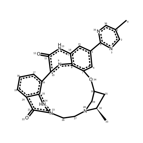 Cc1cnc(-c2cc3c4nc(c(=O)[nH]c4c2)-c2cccc4c(=O)n([nH]c24)CCN2CC(C[C@H]2C)O3)nc1